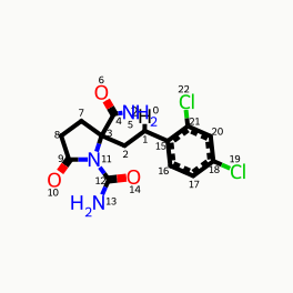 [2H]C(CC1(C(N)=O)CCC(=O)N1C(N)=O)c1ccc(Cl)cc1Cl